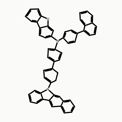 C1=C(c2ccc(N(c3ccc(-c4cccc5ccccc45)cc3)c3ccc4c(c3)oc3ccccc34)cc2)CCC(n2c3ccccc3c3cc4ccccc4cc32)=C1